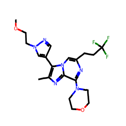 COCCn1cc(-c2c(C)nc3c(N4CCOCC4)nc(CCC(F)(F)F)cn23)cn1